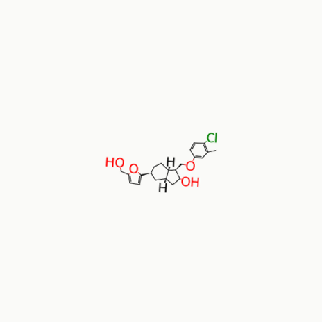 Cc1cc(OC[C@@H]2[C@H]3CC[C@H](c4ccc(CO)o4)C[C@H]3C[C@H]2O)ccc1Cl